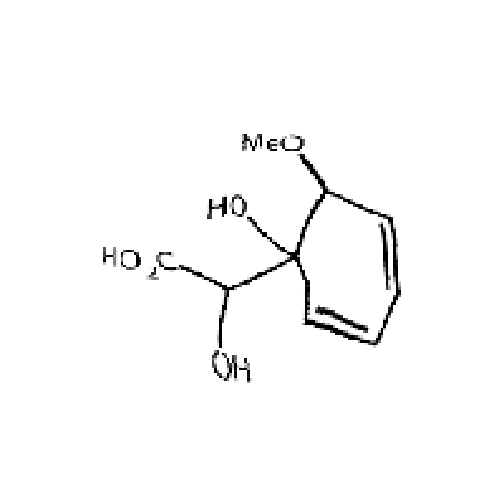 COC1C=CC=CC1(O)C(O)C(=O)O